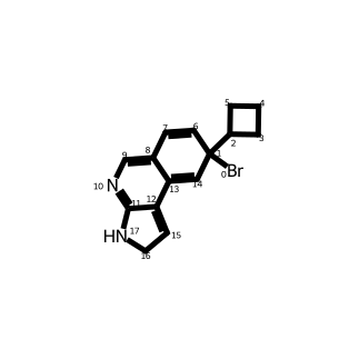 BrC1(C2CCC2)C=Cc2cnc3c(c2=C1)=CCN3